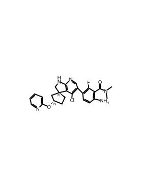 CN(C)C(=O)c1c(N)ccc(-c2cnc3c(c2Cl)[C@@]2(CC[C@H](Oc4ccccn4)C2)CN3)c1F